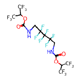 O=C(NCC(F)(F)C(F)(F)C(F)(F)CNC(=O)OC(C(F)(F)F)C(F)(F)F)OC(C(F)(F)F)C(F)(F)F